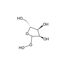 OC[C@H]1O[C](OO)[C@H](O)[C@@H]1O